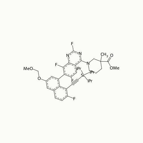 COCOc1cc(-c2c(F)cc3c(N4CCCC(C)(C(=O)OC)C4)nc(F)nc3c2F)c2c(C#C[Si](C(C)C)(C(C)C)C(C)C)c(F)ccc2c1